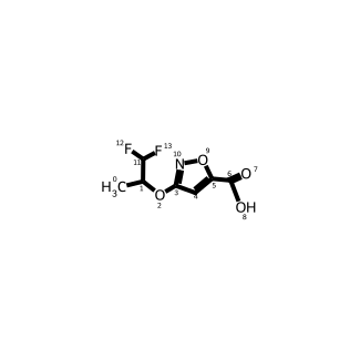 CC(Oc1cc(C(=O)O)on1)C(F)F